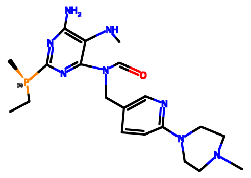 CC[P@@](C)c1nc(N)c(NC)c(N(C=O)Cc2ccc(N3CCN(C)CC3)nc2)n1